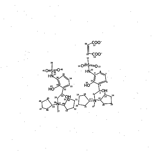 C[N+](CC(O)c1cccc(NS(C)(=O)=O)c1O)(C1CCCC1)C1CCCC1.C[N+](CC(O)c1cccc(NS(C)(=O)=O)c1O)(C1CCCC1)C1CCCC1.O=C([O-])/C=C\C(=O)[O-]